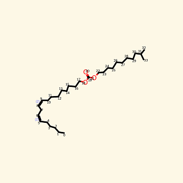 CCCCC/C=C\C/C=C\CCCCCCCCOC(=O)OCCCCCCCCCC(C)C